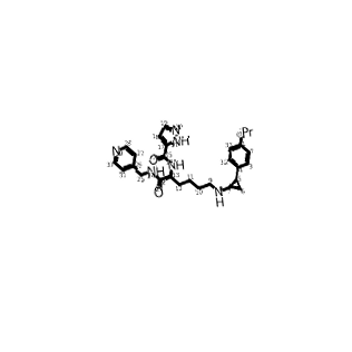 CC(C)c1ccc(C2CC2NCCCCC(NC(=O)c2ccn[nH]2)C(=O)NCc2ccncc2)cc1